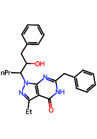 CCCC(C(O)Cc1ccccc1)n1nc(CC)c2c(=O)[nH]c(Cc3ccccc3)nc21